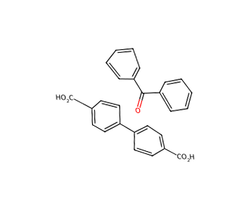 O=C(O)c1ccc(-c2ccc(C(=O)O)cc2)cc1.O=C(c1ccccc1)c1ccccc1